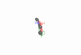 O=C(O)/C(=C\c1ccc(Oc2c(F)ccc(F)c2Cl)cc1)NC(=O)c1ccccc1